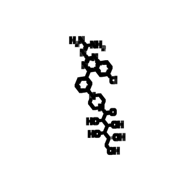 NC(N)=Nc1nc(-c2cccc(N3CCN(C(=O)[C@H](O)[C@@H](O)[C@H](O)[C@H](O)CO)CC3)c2)c2cc(Cl)ccc2n1